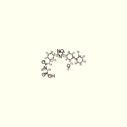 COCc1cc(-c2nc(-c3cccc(CC(=O)N(C)CC(=O)O)c3)no2)ccc1-c1ccccc1C